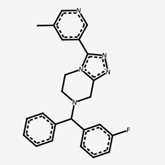 Cc1cncc(-c2nnc3n2CCN(C(c2ccccc2)c2cccc(F)c2)C3)c1